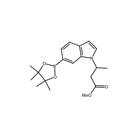 COC(=O)CC(C)n1ccc2ccc(B3OC(C)(C)C(C)(C)O3)cc21